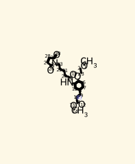 COCCOc1ccc(/C=C/C(=O)OC)cc1NC(=O)CCCCN1C(=O)C=CC1=O